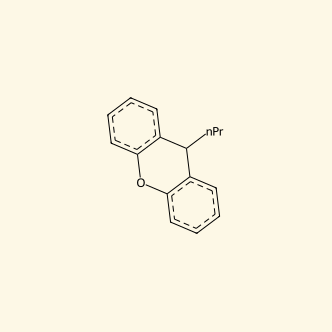 CCCC1c2ccccc2Oc2ccccc21